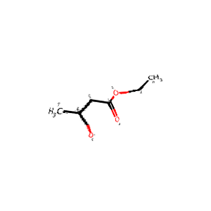 CCOC(=O)CC(C)[O]